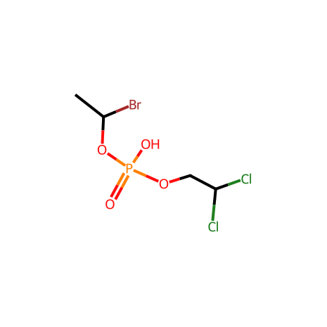 CC(Br)OP(=O)(O)OCC(Cl)Cl